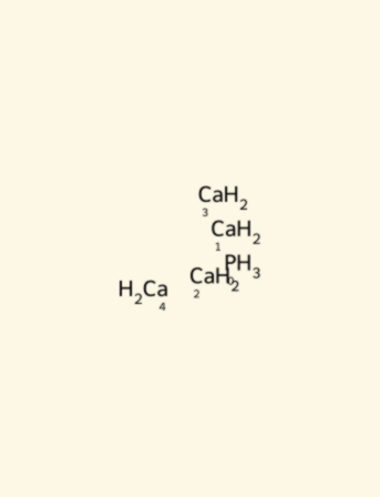 P.[CaH2].[CaH2].[CaH2].[CaH2]